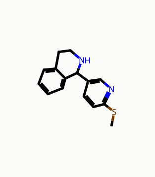 CSc1ccc(C2NCCc3ccccc32)cn1